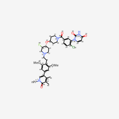 CCCn1cc(-c2cc(OC)c(CCN3CC[C@@H](OC4CCN(C(=O)c5ccc(Cl)c(-n6ccc(=O)[nH]c6=O)c5)CC4)[C@H](F)C3)c(OC)c2)c(C)c(C)c1=O